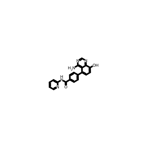 Nc1ncnc2c(O)ccc(-c3ccc(C(=O)Nc4ccccn4)cc3)c12